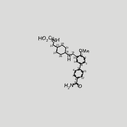 COc1ccc(-c2ccc(C(N)=O)cc2)cc1CNC1CCC(CNC(=O)O)CC1